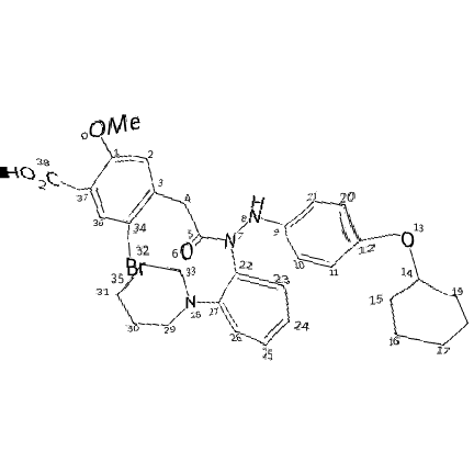 COc1cc(CC(=O)N(Nc2ccc(OC3CCCCC3)cc2)c2ccccc2N2CCCCC2)c(Br)cc1C(=O)O